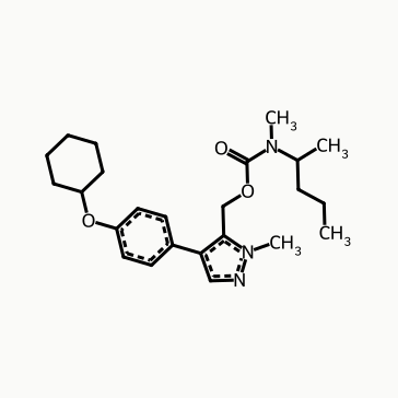 CCCC(C)N(C)C(=O)OCc1c(-c2ccc(OC3CCCCC3)cc2)cnn1C